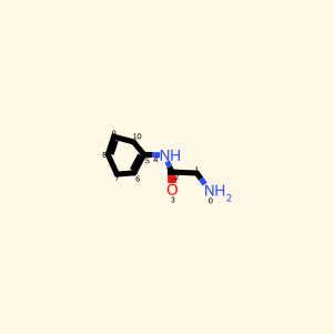 NCC(=O)NC1=CCC=CC1